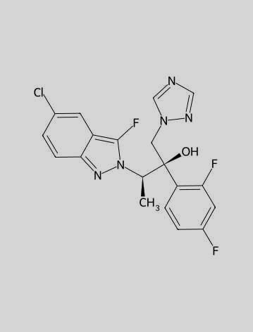 C[C@@H](n1nc2ccc(Cl)cc2c1F)[C@](O)(Cn1cncn1)c1ccc(F)cc1F